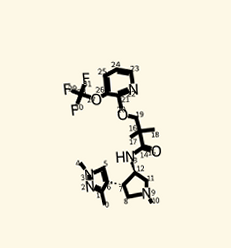 Cc1nn(C)cc1[C@H]1CN(C)C[C@@H]1NC(=O)C(C)(C)COc1ncccc1OC(F)(F)F